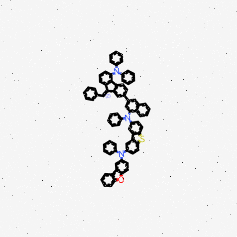 C(=C1\c2cc(-c3cc(N(c4ccccc4)c4ccc5sc6ccc(N(c7ccccc7)c7ccc8oc9ccccc9c8c7)cc6c5c4)c4ccccc4c3)ccc2-c2c1cccc2N(c1ccccc1)c1ccccc1)/c1ccccc1